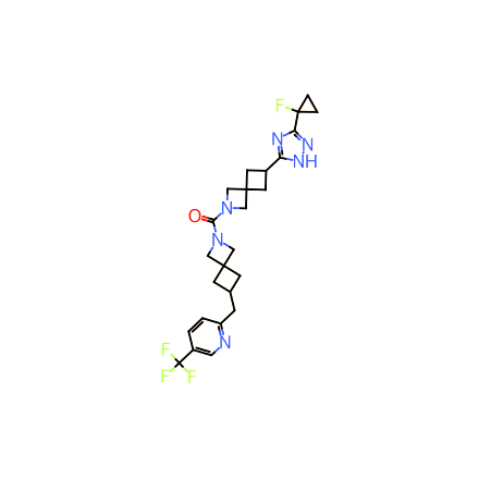 O=C(N1CC2(CC(Cc3ccc(C(F)(F)F)cn3)C2)C1)N1CC2(CC(c3nc(C4(F)CC4)n[nH]3)C2)C1